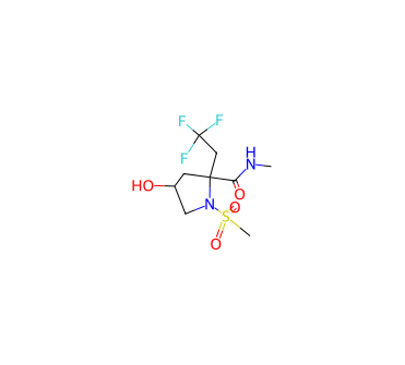 CNC(=O)C1(CC(F)(F)F)CC(O)CN1S(C)(=O)=O